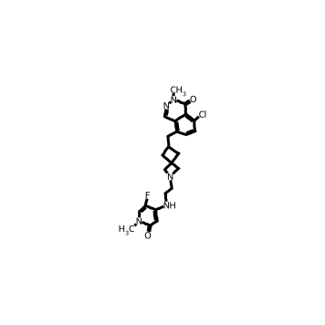 Cn1cc(F)c(NCCN2CC3(CC(Cc4ccc(Cl)c5c(=O)n(C)ncc45)C3)C2)cc1=O